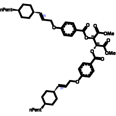 CCCCC[C@H]1CC[C@H](/C=C/COc2ccc(C(=O)O[C@@H](C(=O)OC)[C@@H](OC(=O)c3ccc(OC/C=C/[C@H]4CC[C@H](CCCCC)CC4)cc3)C(=O)OC)cc2)CC1